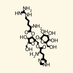 N=C(N)NCCC[C@H](N)C(=O)O[C@H]1[C@H](O)[C@@H](CO)O[C@@]1(COC(=O)[C@@H](N)Cc1c[nH]cn1)O[C@H]1O[C@H](CO)[C@@H](O)[C@H](O)[C@H]1O